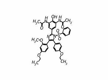 CCOc1ccc(-c2c(-c3ccc(OCC)cc3OC)nc(-c3cc(NC(C)=O)c(O)c(NC(C)=O)c3)n2S(=O)(=O)c2ccccc2)cc1